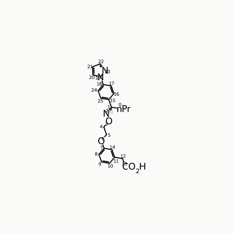 CCC/C(=N\OCCOc1cccc(CC(=O)O)c1)c1ccc(-n2cccn2)cc1